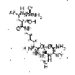 CC(=O)C(CCC(=O)NCCCCC(N)C(=O)N[C@@H](CO)C(=O)NC(C(N)=O)C(C)C)N[C@@H](CO)C(N)=O